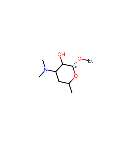 CCO[C@@H]1OC(C)CC(N(C)C)C1O